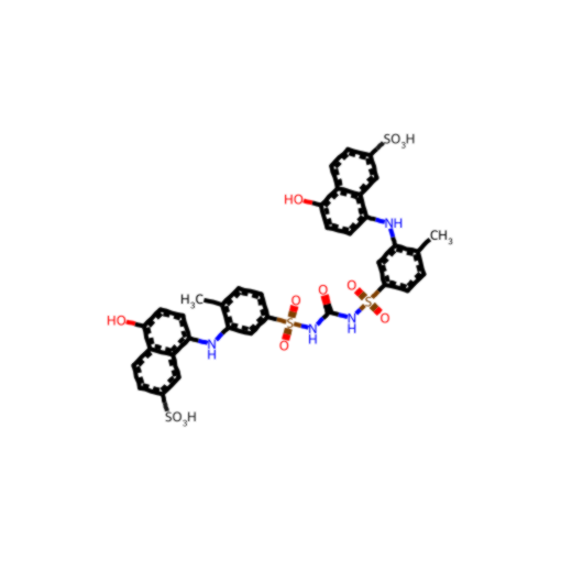 Cc1ccc(S(=O)(=O)NC(=O)NS(=O)(=O)c2ccc(C)c(Nc3ccc(O)c4ccc(S(=O)(=O)O)cc34)c2)cc1Nc1ccc(O)c2ccc(S(=O)(=O)O)cc12